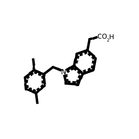 Cc1ccc(C)c(Cn2ccc3ccc(CC(=O)O)cc32)c1